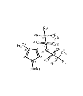 CCCCn1cc[n+](C)c1.O=S(=O)([N-]S(=O)(=O)C(F)(F)C(F)(F)F)C(F)(F)C(F)(F)F